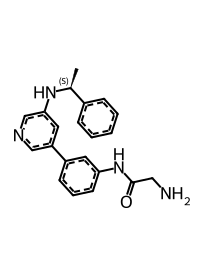 C[C@H](Nc1cncc(-c2cccc(NC(=O)CN)c2)c1)c1ccccc1